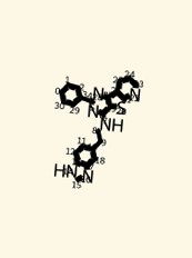 c1ccc(-c2nc(NCCc3ccc4[nH]cnc4c3)c3sc4ncccc4c3n2)cc1